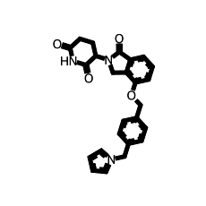 O=C1CCC(N2Cc3c(OCc4ccc(Cn5cccc5)cc4)cccc3C2=O)C(=O)N1